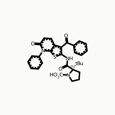 CC(C)(C)[C@]1(C(=O)Nc2sc3c(ccc(=O)n3-c3ccccc3)c2C(=O)c2ccccc2)CCCN1C(=O)O